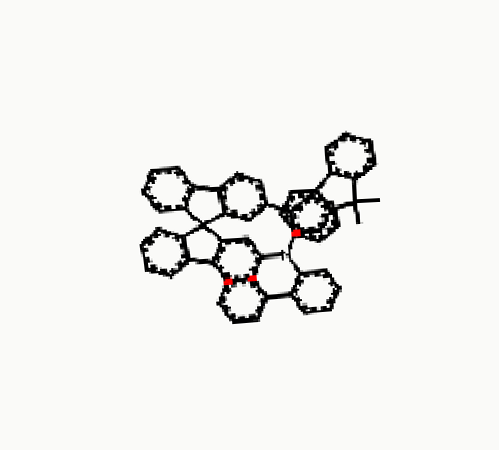 CC1(C)c2ccccc2-c2ccc(N(c3ccc4c(c3)C3(c5ccccc5-c5ccc(-c6ccccc6)cc53)c3ccccc3-4)c3ccccc3-c3ccccc3)cc21